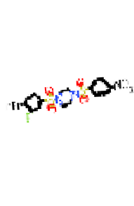 CCCc1ccc(S(=O)(=O)N2CCN(S(=O)(=O)c3ccc([N+](=O)[O-])cc3)CC2)cc1F